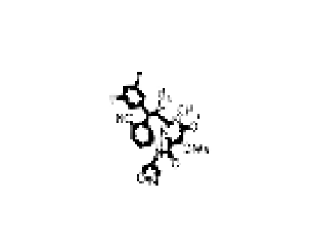 COc1c(C(=O)Nc2cnoc2)nc(C(C)C(c2cc(F)cc(F)c2)c2ccccc2C#N)n(C)c1=O